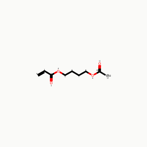 C=CC(=O)OCCCCOC(=O)C(C)(C)C